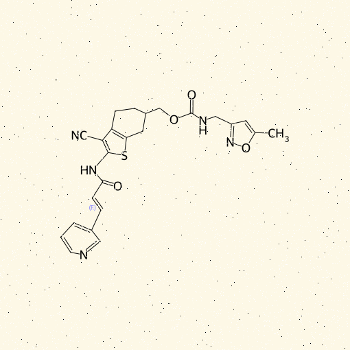 Cc1cc(CNC(=O)OCC2CCc3c(sc(NC(=O)/C=C/c4cccnc4)c3C#N)C2)no1